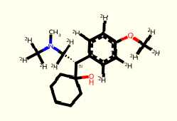 [2H]c1c([2H])c([C@H](C2(O)CCCCC2)C([2H])([2H])N(C)C([2H])([2H])[2H])c([2H])c([2H])c1OC([2H])([2H])[2H]